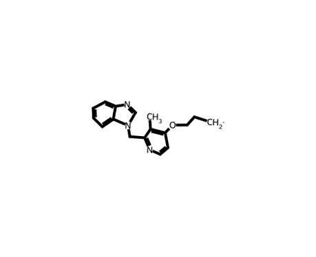 [CH2]CCOc1ccnc(Cn2cnc3ccccc32)c1C